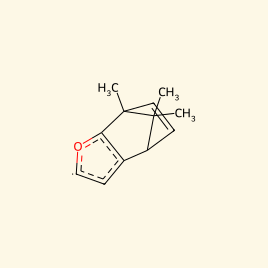 CC12C=CC(c3c[c]oc31)C2(C)C